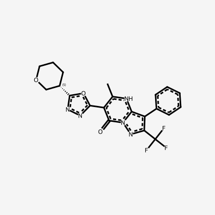 Cc1[nH]c2c(-c3ccccc3)c(C(F)(F)F)nn2c(=O)c1-c1nnc([C@H]2CCCOC2)o1